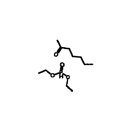 CCCCCC(C)=O.CCO[PH](=O)OCC